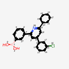 OB(O)c1cccc(-c2cc(-c3cccc(Cl)c3)cc(-c3ccccc3)n2)c1